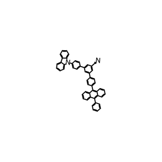 N#Cc1cc(-c2ccc(-c3c4ccccc4c(-c4ccccc4)c4ccccc34)cc2)cc(-c2ccc(-n3c4ccccc4c4ccccc43)cc2)c1